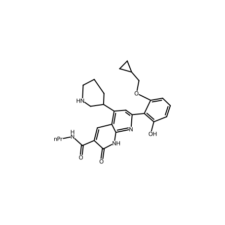 CCCNC(=O)c1cc2c(C3CCCNC3)cc(-c3c(O)cccc3OCC3CC3)nc2[nH]c1=O